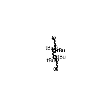 CC(C)(C)c1cc(Cc2cc(C(C)(C)C)c(OCCCCC3CO3)c(C(C)(C)C)c2)cc(C(C)(C)C)c1OCCCCC1CO1